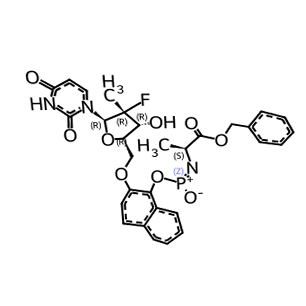 C[C@H](/N=[P+](/[O-])Oc1c(OC[C@H]2O[C@@H](n3ccc(=O)[nH]c3=O)[C@](C)(F)[C@@H]2O)ccc2ccccc12)C(=O)OCc1ccccc1